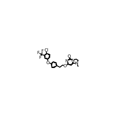 CN1CCn2c1cc(OCCc1ccc(Oc3ccc(Cl)c(C(F)(F)F)c3)cc1)nc2=O